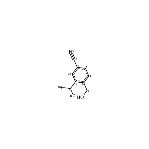 N#Cc1ccc(CO)c(C(F)F)c1